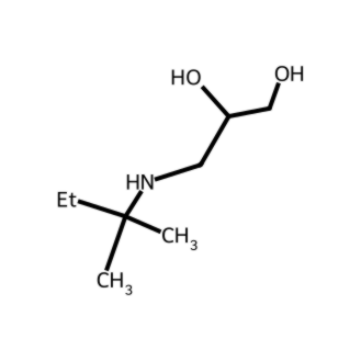 CCC(C)(C)NCC(O)CO